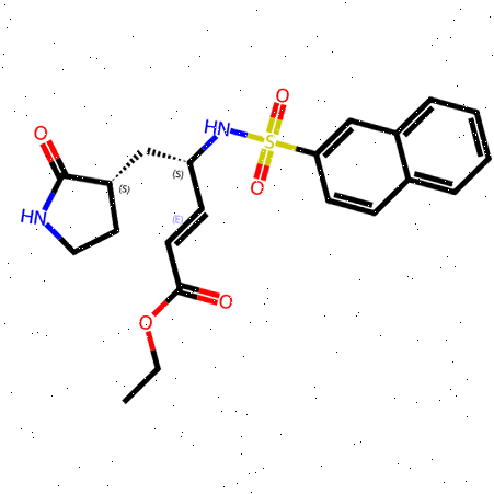 CCOC(=O)/C=C/[C@H](C[C@@H]1CCNC1=O)NS(=O)(=O)c1ccc2ccccc2c1